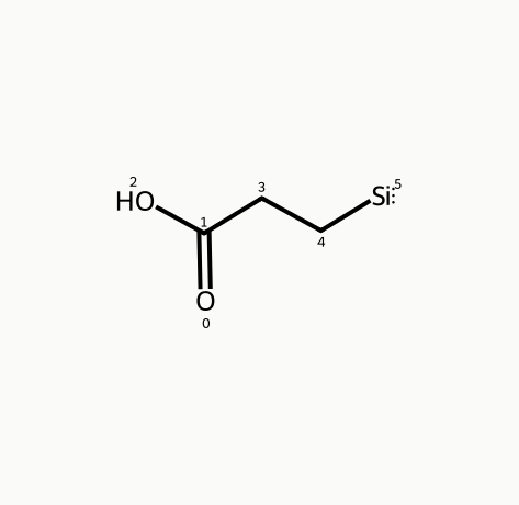 O=C(O)CC[Si]